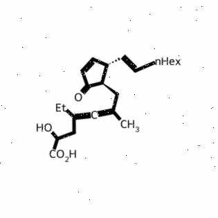 CCCCCCC=C[C@H]1C=CC(=O)[C@@H]1CC(C)=C=C(CC)CC(O)C(=O)O